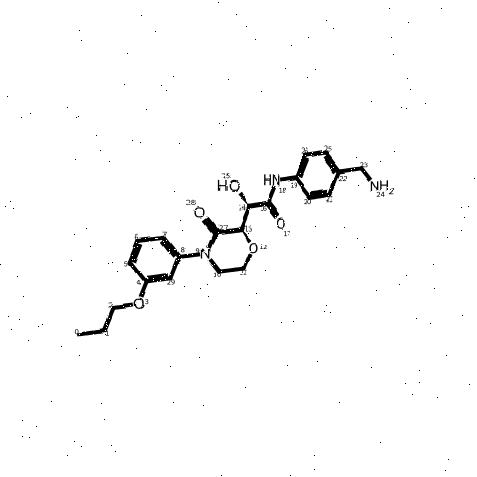 CCCOc1cccc(N2CCO[C@H]([C@@H](O)C(=O)Nc3ccc(CN)cc3)C2=O)c1